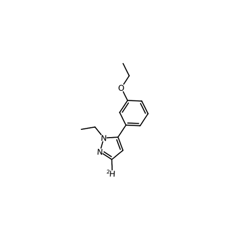 [2H]c1cc(-c2cccc(OCC)c2)n(CC)n1